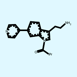 CC(C)C(=O)n1cc(CCN)c2ccc(-c3ccncc3)cc21